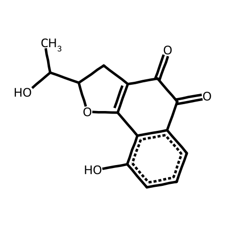 CC(O)C1CC2=C(O1)c1c(O)cccc1C(=O)C2=O